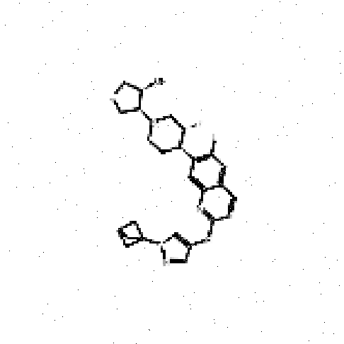 O[C@@H]1COC[C@@H]1N1CC[C@H](c2cc3nc(Nc4cnn(C56CC(C5)C6)c4)ncc3cc2Cl)[C@@H](F)C1